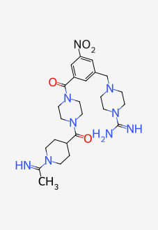 CC(=N)N1CCC(C(=O)N2CCN(C(=O)c3cc(CN4CCN(C(=N)N)CC4)cc([N+](=O)[O-])c3)CC2)CC1